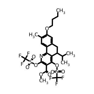 CCCCOc1cc2c(cc1C)-c1nc(OS(=O)(=O)C(F)(F)F)c(C(=O)OC)c(OS(=O)(=O)C(F)(F)F)c1C(C(C)C)C2